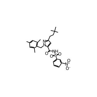 Cc1cc(C)c(Cn2nc(CCC(C)(C)C)cc2C(=O)NS(=O)(=O)c2cccc([N+](=O)[O-])c2)c(C)c1